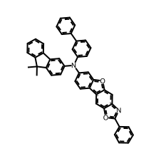 CC1(C)c2ccccc2-c2cc(N(c3cccc(-c4ccccc4)c3)c3ccc4c(c3)oc3cc5nc(-c6ccccc6)oc5cc34)ccc21